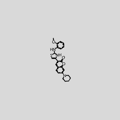 COc1ccccc1NC1NC(c2cc3ccc(N4CCCCC4)cc3oc2=O)=CS1